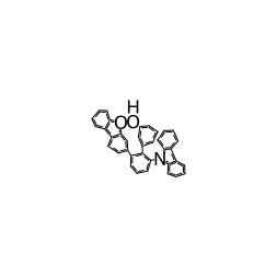 Oc1cccc(-c2c(-c3ccc4c(c3)oc3ccccc34)cccc2-n2c3ccccc3c3ccccc32)c1